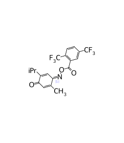 CC1=CC(=O)C(C(C)C)=C/C1=N\OC(=O)c1cc(C(F)(F)F)ccc1C(F)(F)F